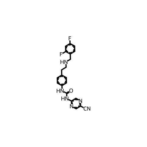 N#Cc1cnc(NC(=O)Nc2ccc(CCNCc3ccc(F)cc3F)cc2)cn1